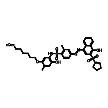 CCCCCCCCCCCCCCCCOc1cc(NS(=O)(=O)c2ccc(N=Nc3cc(S(=O)(=O)N4CCCC4)c(O)c4ccccc34)cc2C)c(O)cc1C